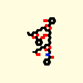 CCC1CC(CCCC2CC(CC(O)CCCC3CC(CCC[C@H](C)O)OC(CNC(=O)c4ccccc4)O3)OC(c3ccccc3O)O2)OC(c2ccccc2O)O1